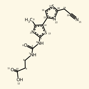 Cc1nc(NC(=O)NCCC(=O)O)sc1-c1csc(CC#N)n1